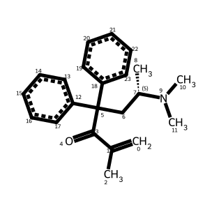 C=C(C)C(=O)C(C[C@H](C)N(C)C)(c1ccccc1)c1ccccc1